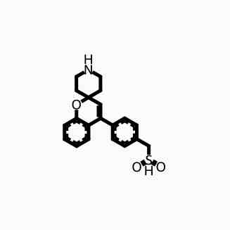 O=[SH](=O)Cc1ccc(C2=CC3(CCNCC3)Oc3ccccc32)cc1